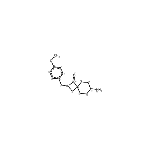 COc1ccc(CN2CC3(CCC(N)CC3)C2=O)cc1